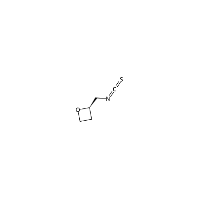 S=C=NC[C@H]1CCO1